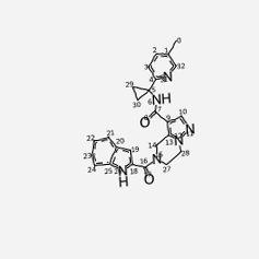 Cc1ccc(C2(NC(=O)c3cnn4c3CN(C(=O)c3cc5ccccc5[nH]3)CC4)CC2)nc1